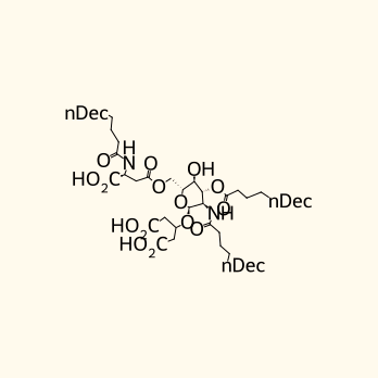 CCCCCCCCCCCCCC(=O)N[C@H]1[C@@H](OC(CC(=O)O)CC(=O)O)O[C@H](COC(=O)C[C@H](NC(=O)CCCCCCCCCCCCC)C(=O)O)[C@@H](O)[C@@H]1OC(=O)CCCCCCCCCCCCC